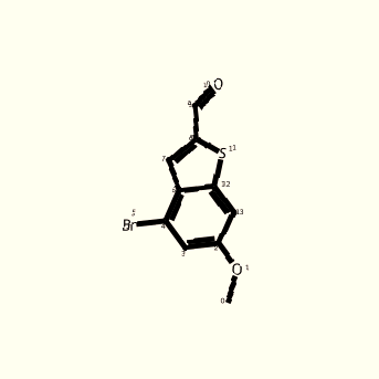 COc1cc(Br)c2cc(C=O)sc2c1